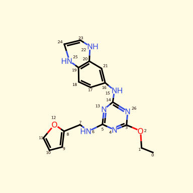 CCOc1nc(NCc2ccco2)nc(Nc2ccc3c(c2)NC=CN3)n1